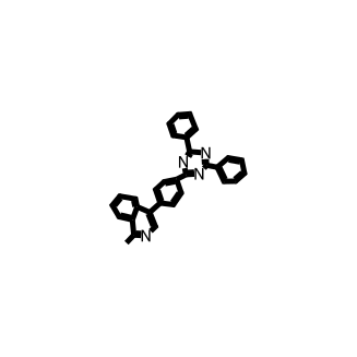 Cc1ncc(-c2ccc(-c3nc(-c4ccccc4)nc(-c4ccccc4)n3)cc2)c2ccccc12